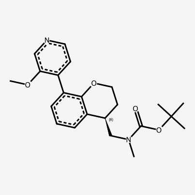 COc1cnccc1-c1cccc2c1OCC[C@H]2CN(C)C(=O)OC(C)(C)C